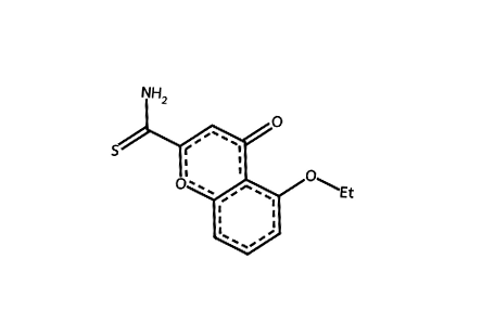 CCOc1cccc2oc(C(N)=S)cc(=O)c12